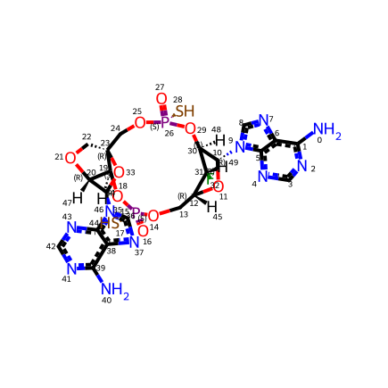 Nc1ncnc2c1ncn2[C@@H]1O[C@@H]2CO[P@](=O)(S)O[C@H]3[C@H]4OC[C@]3(CO[P@](=O)(S)O[C@@H]1[C@@H]2F)O[C@H]4n1cnc2c(N)ncnc21